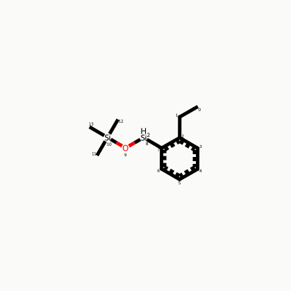 CCc1ccccc1[SiH2]O[Si](C)(C)C